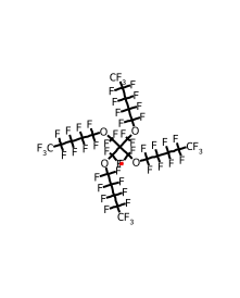 FC(F)(F)C(F)(F)C(F)(F)C(F)(F)C(F)(F)OC(F)(F)C(C(F)(F)OC(F)(F)C(F)(F)C(F)(F)C(F)(F)C(F)(F)F)(C(F)(F)OC(F)(F)C(F)(F)C(F)(F)C(F)(F)C(F)(F)F)C(F)(F)OC(F)(F)C(F)(F)C(F)(F)C(F)(F)C(F)(F)F